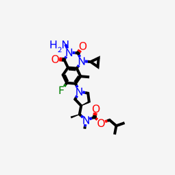 Cc1c(N2CC[C@@H]([C@H](C)N(C)C(=O)OCC(C)C)C2)c(F)cc2c(=O)n(N)c(=O)n(C3CC3)c12